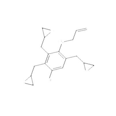 C=CCNc1c(CC2CO2)cc(O)c(CC2CO2)c1CC1CO1